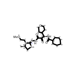 COCCN1/C(=N/NC(=O)C(=O)[C@H](NC(=O)C2CCCCCC2)C2CCOCC2)SC[C@H]1C